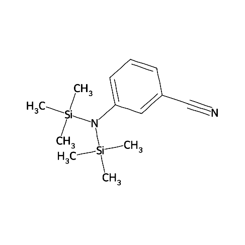 C[Si](C)(C)N(c1cccc(C#N)c1)[Si](C)(C)C